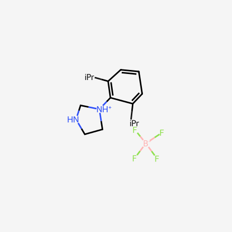 CC(C)c1cccc(C(C)C)c1[NH+]1CCNC1.F[B-](F)(F)F